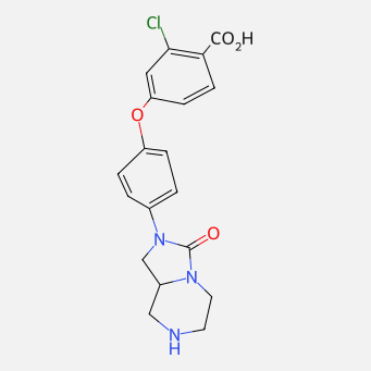 O=C(O)c1ccc(Oc2ccc(N3CC4CNCCN4C3=O)cc2)cc1Cl